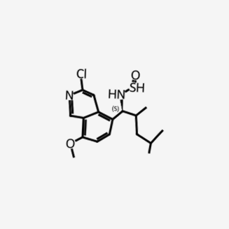 COc1ccc([C@@H](N[SH]=O)C(C)CC(C)C)c2cc(Cl)ncc12